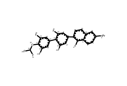 CCCc1ccc2c(F)c(-c3cc(F)c(-c4cc(F)c(OC(F)F)c(F)c4)c(F)c3)ccc2c1